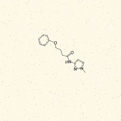 Cn1ccc(NC(=O)CCCOc2ccccc2)n1